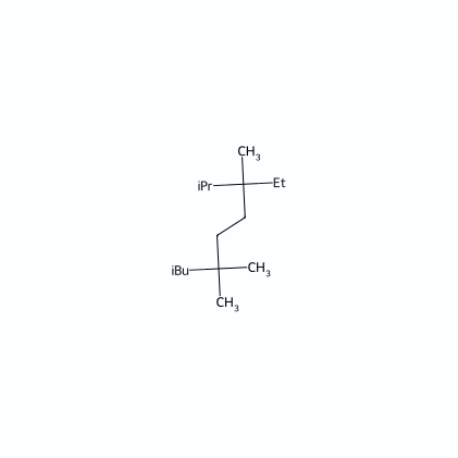 [CH2]C(CC)C(C)(C)CCC(C)(CC)C(C)C